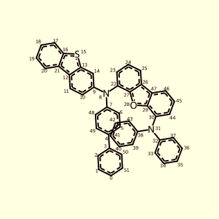 c1ccc(-c2ccc(N(c3ccc4c(c3)sc3ccccc34)c3cccc4c3oc3c(N(c5ccccc5)c5ccccc5)cccc34)cc2)cc1